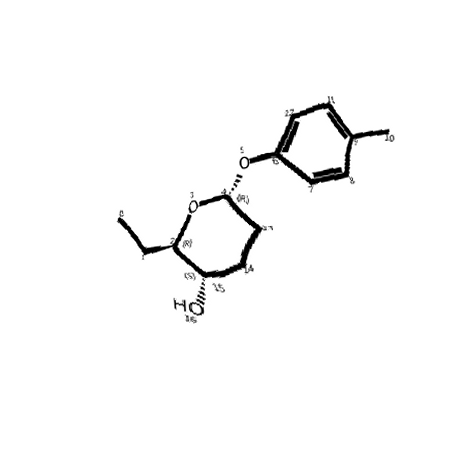 CC[C@H]1O[C@H](Oc2ccc(C)cc2)CC[C@@H]1O